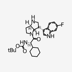 CC(C)(C)OC(=O)N[C@H](C(=O)N1CC[C@H]2NC[C@H](c3c[nH]c4cc(F)ccc34)[C@H]21)C1CCCCC1